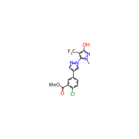 COC(=O)c1cc(-c2cnn(-c3c(C(F)(F)F)c(O)nn3C)c2)ccc1Cl